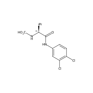 CC(C)[C@H](NC(=O)O)C(=O)Nc1ccc(Cl)c(Cl)c1